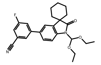 CCOC(OCC)N1C(=O)C2(CCCCC2)c2cc(-c3cc(F)cc(C#N)c3)ccc21